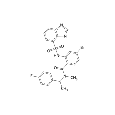 CC(c1ccc(F)cc1)N(C)C(=O)c1ccc(Br)cc1NS(=O)(=O)c1cccc2nsnc12